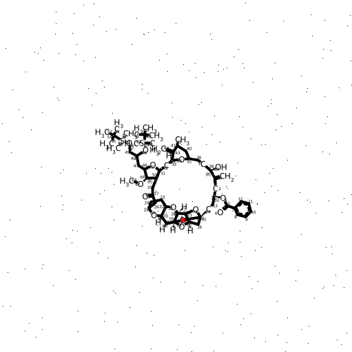 C=C1C[C@@H](OC(=O)c2ccccc2)CC[C@@]23C[C@H]4O[C@@H]5[C@@H](OC6CCC(CC(=O)CC7C(C[C@H]8OC(CC[C@H]1O)CC(C)C8=C)OC(CC(CO[Si](C)(C)C(C)(C)C)O[Si](C)(C)C(C)(C)C)[C@@H]7OC)O[C@@H]6[C@@H]5O2)[C@H]4O3